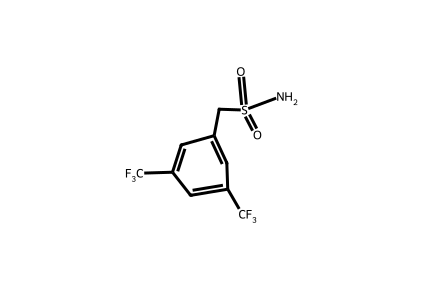 NS(=O)(=O)Cc1cc(C(F)(F)F)cc(C(F)(F)F)c1